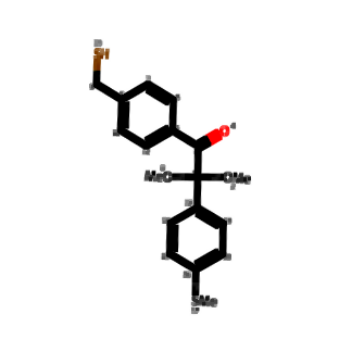 COC(OC)(C(=O)c1ccc(CS)cc1)c1ccc(SC)cc1